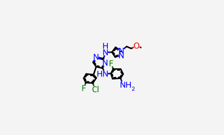 COCCn1cc(Nc2ncc(-c3ccc(F)c(Cl)c3)c(Nc3cc(N)ccc3F)n2)cn1